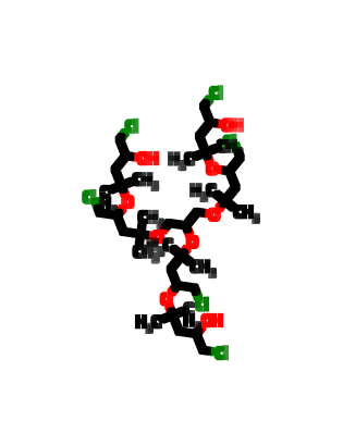 CC(C)(CC(CCl)OC(C)(C)CC(O)CCl)OCC(COC(C)(C)CC(CCl)OC(C)(C)CC(O)CCl)OC(C)(C)CC(CCl)OC(C)(C)CC(O)CCl